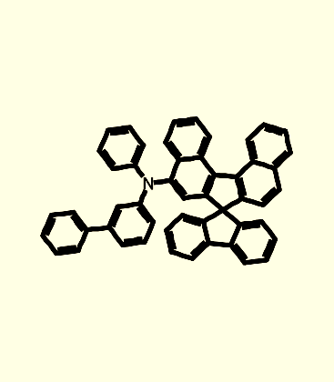 c1ccc(-c2cccc(N(c3ccccc3)c3cc4c(c5ccccc35)-c3c(ccc5ccccc35)C43c4ccccc4-c4ccccc43)c2)cc1